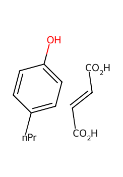 CCCc1ccc(O)cc1.O=C(O)/C=C/C(=O)O